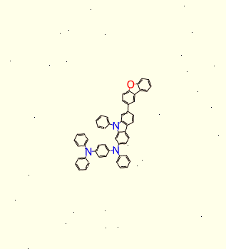 c1ccc(N(c2ccccc2)c2ccc(N(c3ccccc3)c3ccc4c5ccc(-c6ccc7oc8ccccc8c7c6)cc5n(-c5ccccc5)c4c3)cc2)cc1